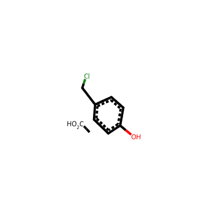 CC(=O)O.Oc1ccc(CCl)cc1